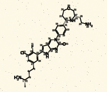 C[C@H](N)CCCc1cc(Cl)c(F)c(-c2cc3cn(-c4ccc([C@@H]5CCOC[C@H](CCN)N5)cc4)c(=O)nc3[nH]2)c1